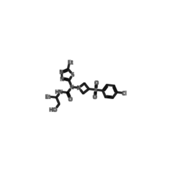 CCc1nnc(N(C(=O)NC(CC)CO)N2CC(S(=O)(=O)c3ccc(Cl)cc3)C2)s1